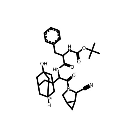 CC(C)(C)OC(=O)NC(Cc1ccccc1)C(=O)NC(C(=O)N1CC2CC2C1C#N)C12CC3C[C@H](CC(O)(C3)C1)C2